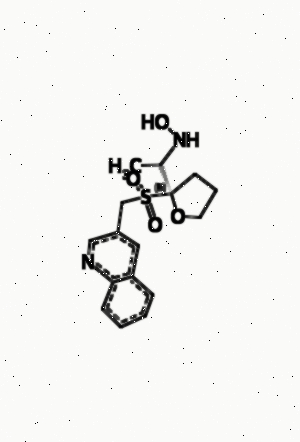 CC(NO)[C@]1(S(=O)(=O)Cc2cnc3ccccc3c2)CCCO1